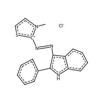 Cn1ccs[c+]1N=Nc1c(-c2ccccc2)[nH]c2ccccc12.[Cl-]